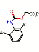 CCOC(=O)COC(=O)Nc1c(CC)cccc1CC